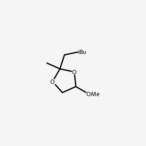 CCC(C)CC1(C)OCC(OC)O1